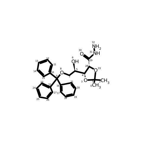 CC1(C)O[C@H]([C@H](O)COC(c2ccccc2)(c2ccccc2)c2ccccc2)[C@H](C(=O)NN)O1